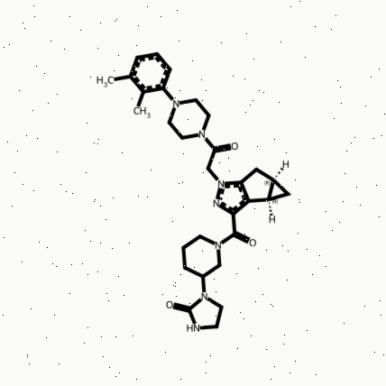 Cc1cccc(N2CCN(C(=O)Cn3nc(C(=O)N4CCCC(N5CCNC5=O)C4)c4c3C[C@H]3C[C@@H]43)CC2)c1C